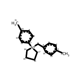 Cc1ccc(C[N+]2(c3ccc(C)cc3)CCCC2)cc1